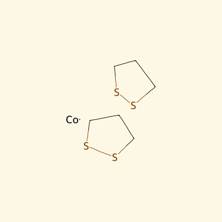 C1CSSC1.C1CSSC1.[Co]